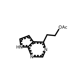 CC(=O)OCCc1ncnc2[nH]ccc12